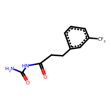 NC(=O)NC(=O)[CH]Cc1cccc(C(F)(F)F)c1